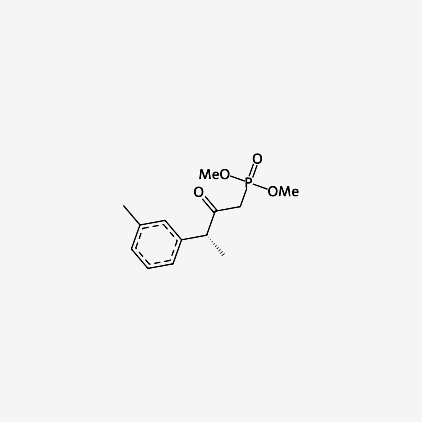 COP(=O)(CC(=O)[C@H](C)c1cccc(C)c1)OC